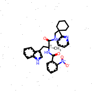 C[C@@](Cc1c[nH]c2ccccc12)(NC(=O)c1ccccc1[N+](=O)[O-])C(=O)NCC1(c2ccccn2)CCCCC1